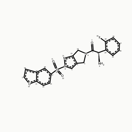 N[C@@H](C(=O)N1Cc2cn(S(=O)(=O)c3ccc4occc4c3)nc2C1)c1ccccc1F